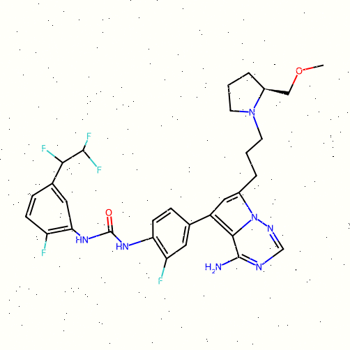 COC[C@@H]1CCCN1CCCc1cc(-c2ccc(NC(=O)Nc3cc(C(F)C(F)F)ccc3F)c(F)c2)c2c(N)ncnn12